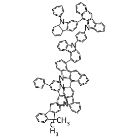 CC1(C)c2ccccc2-c2ccc(-n3c4ccccc4c4cc(-c5c6ccccc6cc6c7c(-c8cccc9c8c8ccccc8n9-c8ccc(-n9c%10ccccc%10c%10cc%11ccccc%11c(-c%11ccc%12c(c%11)N(c%11ccccc%11)C%11C=CC=CC%12%11)c%109)cc8)cccc7n(-c7cc(-c8ccccc8)cc(-c8ccccc8)n7)c56)ccc43)cc21